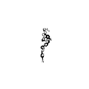 CCOC(=O)c1ccc2nc(C=C3CCN(c4cccc(OCc5ccc(C#N)cn5)n4)CC3)n(C[C@@H]3CCO3)c2c1F